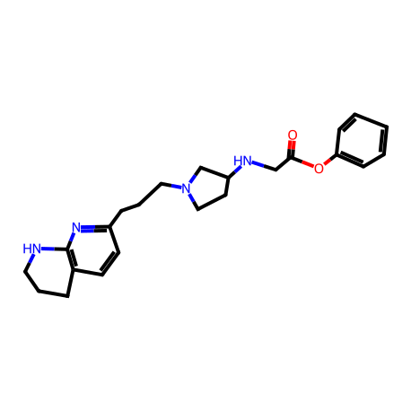 O=C(CNC1CCN(CCCc2ccc3c(n2)NCCC3)C1)Oc1ccccc1